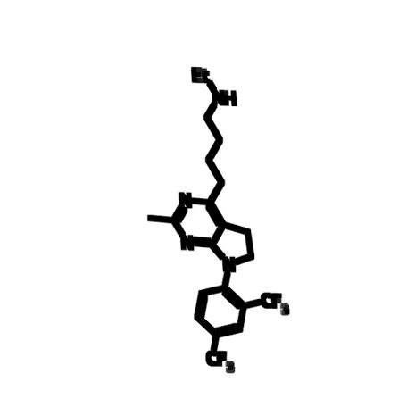 CCNCCCCc1nc(C)nc2c1CCN2c1ccc(C(F)(F)F)cc1C(F)(F)F